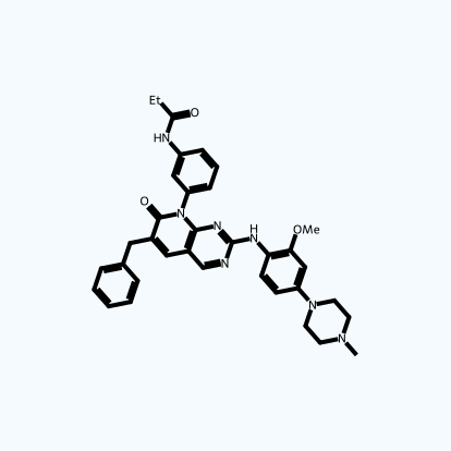 CCC(=O)Nc1cccc(-n2c(=O)c(Cc3ccccc3)cc3cnc(Nc4ccc(N5CCN(C)CC5)cc4OC)nc32)c1